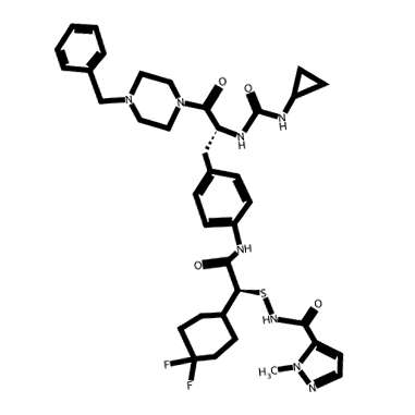 Cn1nccc1C(=O)NS[C@H](C(=O)Nc1ccc(C[C@@H](NC(=O)NC2CC2)C(=O)N2CCN(Cc3ccccc3)CC2)cc1)C1CCC(F)(F)CC1